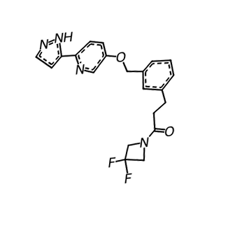 O=C(CCc1cccc(COc2ccc(-c3ccn[nH]3)nc2)c1)N1CC(F)(F)C1